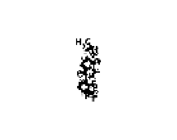 Cc1cn(-c2ccc3n(c2=O)CCN(c2cccc(C(F)(F)F)c2F)C3=O)cn1